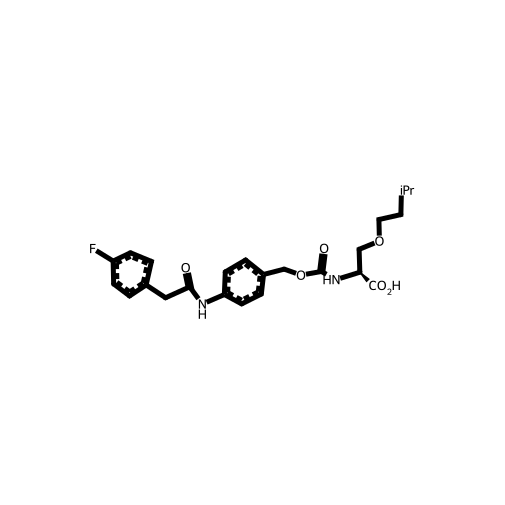 CC(C)CCOC[C@H](NC(=O)OCc1ccc(NC(=O)Cc2ccc(F)cc2)cc1)C(=O)O